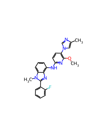 COc1nc(Nc2cccc3c2nc(-c2ccccc2F)n3C)ccc1-n1cnc(C)c1